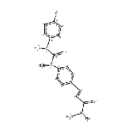 NN(N=O)C(=O)/C=C/c1ccc(N(N)C(=O)N(N)c2ccc(Cl)cc2)cc1